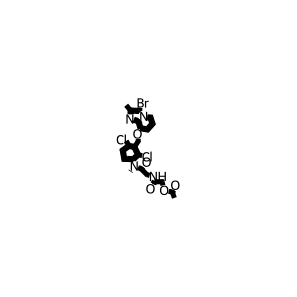 CC(=O)OCC(=O)NCC(=O)N(C)c1ccc(Cl)c(COc2cccn3c(Br)c(C)nc23)c1Cl